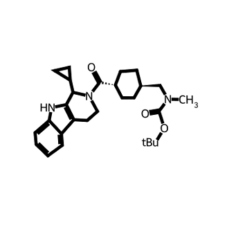 CN(C[C@H]1CC[C@H](C(=O)N2CCc3c([nH]c4ccccc34)C2C2CC2)CC1)C(=O)OC(C)(C)C